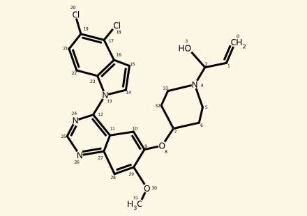 C=CC(O)N1CCC(Oc2cc3c(-n4ccc5c(Cl)c(Cl)ccc54)ncnc3cc2OC)CC1